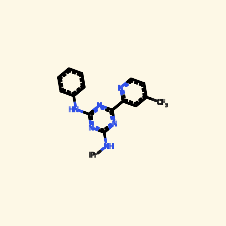 CC(C)Nc1nc(Nc2ccccc2)nc(-c2cc(C(F)(F)F)ccn2)n1